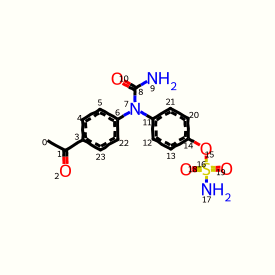 CC(=O)c1ccc(N(C(N)=O)c2ccc(OS(N)(=O)=O)cc2)cc1